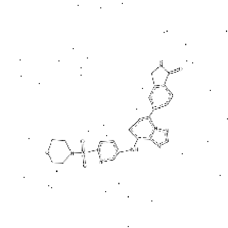 O=C1NCc2cc(-c3ccc(Nc4ccc(S(=O)(=O)N5CCOCC5)nc4)c4ncnn34)ccc21